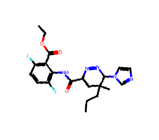 CCCC1(C)CC(C(=O)Nc2c(F)ccc(F)c2C(=O)OCC)N=NC1n1ccnc1